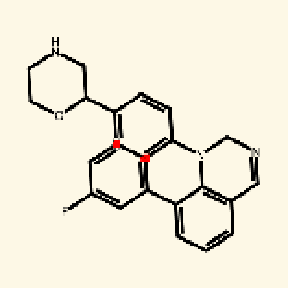 Fc1cccc(-c2cccc3c2N(c2ccc(C4CNCCO4)nc2)CN=C3)c1